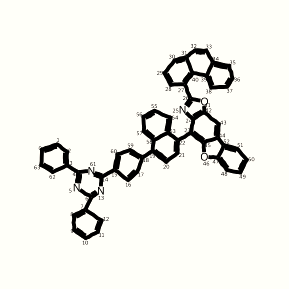 c1ccc(-c2nc(-c3ccccc3)nc(-c3ccc(-c4ccc(-c5c6nc(-c7cccc8ccc9ccccc9c78)oc6cc6c5oc5ccccc56)c5ccccc45)cc3)n2)cc1